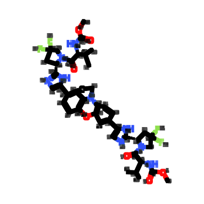 COC(=O)N[C@H](C(=O)N1CC(F)(F)C[C@H]1c1ncc(-c2ccc3c(c2)Oc2ccc(-c4cnc([C@@H]5CC(F)(F)CN5C(=O)[C@@H](NC(=O)OC)C(C)C)[nH]4)c4c2N3CC4)[nH]1)C(C)C